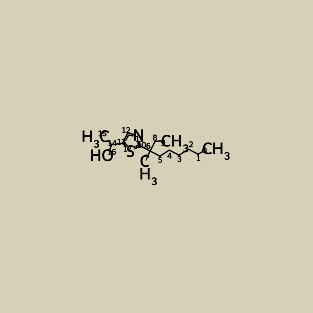 CCCCCCC(C)(CC)c1ncc(C(C)O)s1